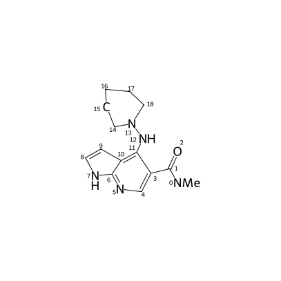 CNC(=O)c1cnc2[nH]ccc2c1NN1CCCCC1